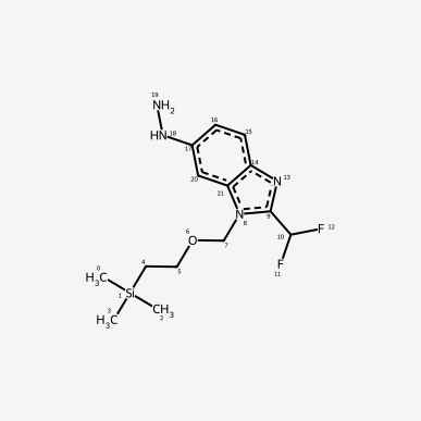 C[Si](C)(C)CCOCn1c(C(F)F)nc2ccc(NN)cc21